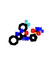 NS(=O)(=O)c1cccc(NC(=O)c2cc3c(nc2N2CCCC(F)(F)CC2)CCCCCC3)c1